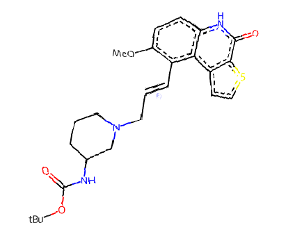 COc1ccc2[nH]c(=O)c3sccc3c2c1/C=C/CN1CCCC(NC(=O)OC(C)(C)C)C1